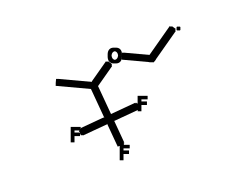 [CH2]COC(C)C(F)(F)F